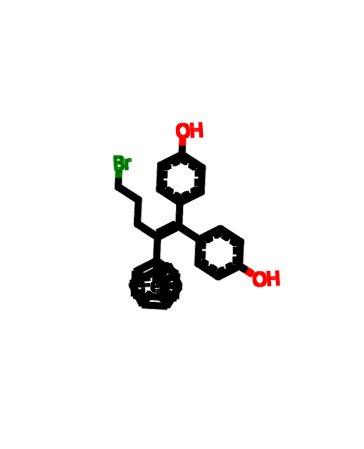 Oc1ccc(C(=C(CCCBr)[C]23[CH]4[CH]5[CH]6[CH]2[Fe]56432789[CH]3[CH]2[CH]7[CH]8[CH]39)c2ccc(O)cc2)cc1